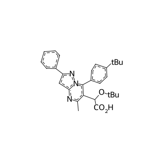 Cc1nc2cc(-c3ccccc3)nn2c(-c2ccc(C(C)(C)C)cc2)c1C(OC(C)(C)C)C(=O)O